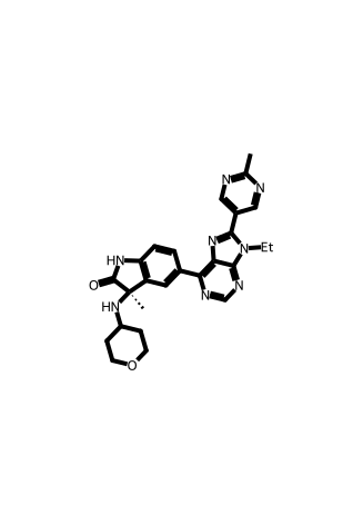 CCn1c(-c2cnc(C)nc2)nc2c(-c3ccc4c(c3)[C@@](C)(NC3CCOCC3)C(=O)N4)ncnc21